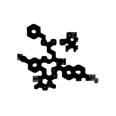 COC(=O)C(=Cc1ccc(C#N)cc1OC[C@@H](CCC(=O)OCc1ccccc1)NC(=O)c1ccc2nc(N)ccc2c1)NC(C)=O.O=C(O)C(F)(F)F